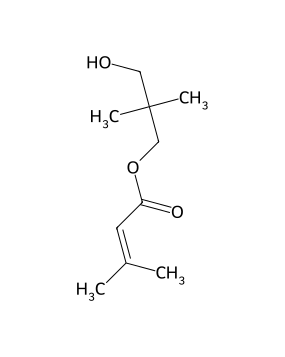 CC(C)=CC(=O)OCC(C)(C)CO